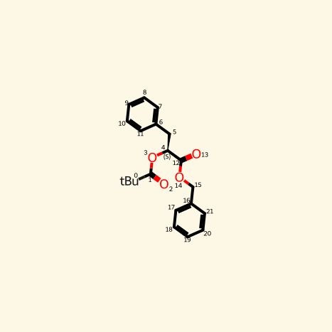 CC(C)(C)C(=O)O[C@@H](Cc1ccccc1)C(=O)OCc1ccccc1